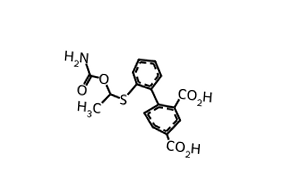 CC(OC(N)=O)Sc1ccccc1-c1ccc(C(=O)O)cc1C(=O)O